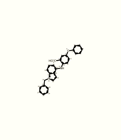 O=C(O)c1cc(Oc2ccccc2)ccc1Nc1cccc2c1ccn2Cc1ccccc1